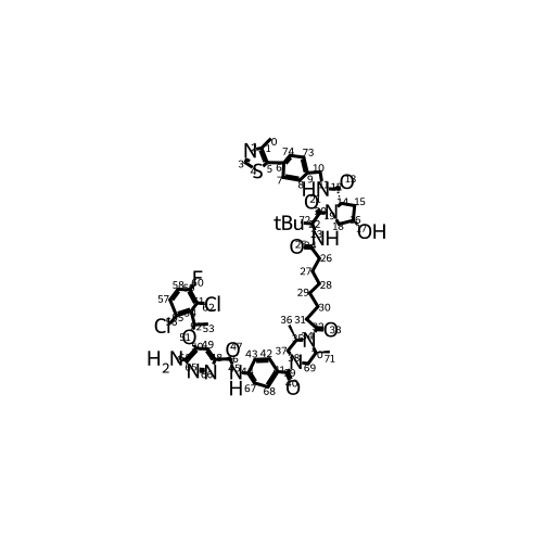 Cc1ncsc1-c1ccc(CNC(=O)[C@@H]2C[C@@H](O)CN2C(=O)C(NC(=O)CCCCCCC(=O)N2[C@H](C)CN(C(=O)c3ccc(NC(=O)c4cc(OC(C)c5c(Cl)ccc(F)c5Cl)c(N)nn4)cc3)C[C@@H]2C)C(C)(C)C)cc1